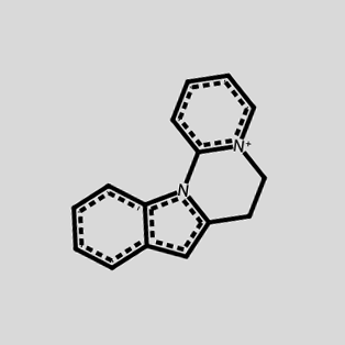 c1cc[n+]2c(c1)-n1c(cc3ccccc31)CC2